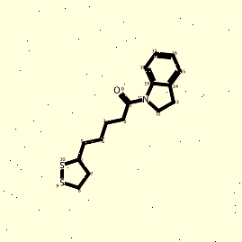 O=C(CCCCC1CCSS1)N1CCc2ccccc21